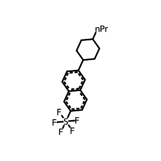 CCCC1CCC(c2ccc3cc(S(F)(F)(F)(F)F)ccc3c2)CC1